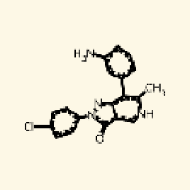 Cc1[nH]cc2c(=O)n(-c3ccc(Cl)cc3)nc-2c1-c1cccc(N)c1